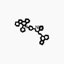 NC(CC(/C=C/C1C=c2ccccc2=C2C=CC=CC21)c1ccccc1)C1C=CC(N2c3c(c4c5c(ccc4c4ccccc34)CCC=C5)C3C=CC=CC32)=CC1